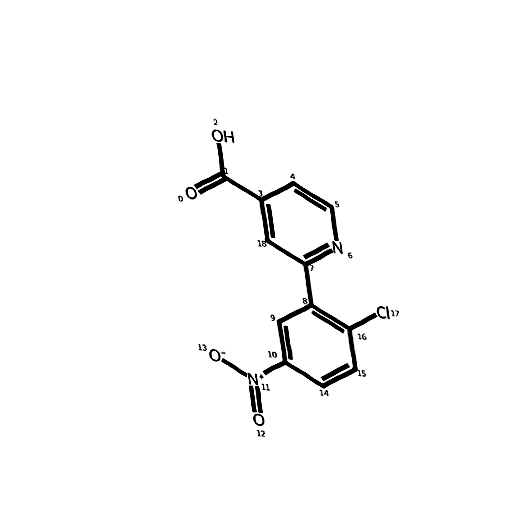 O=C(O)c1ccnc(-c2cc([N+](=O)[O-])ccc2Cl)c1